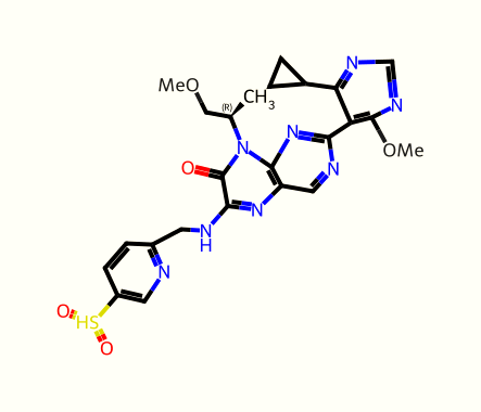 COC[C@@H](C)n1c(=O)c(NCc2ccc([SH](=O)=O)cn2)nc2cnc(-c3c(OC)ncnc3C3CC3)nc21